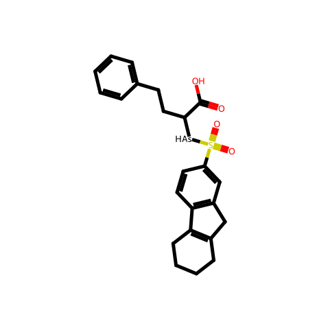 O=C(O)C(CCc1ccccc1)[AsH]S(=O)(=O)c1ccc2c(c1)CC1=C2CCCC1